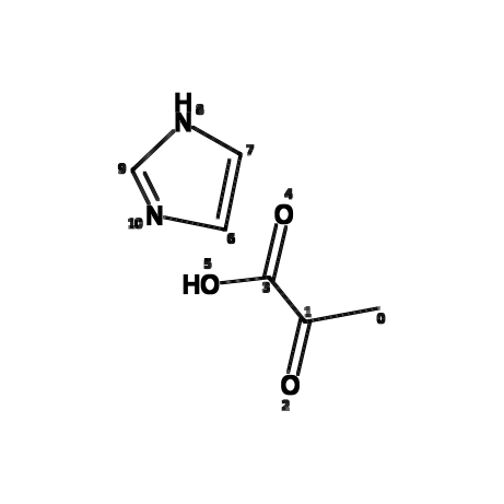 CC(=O)C(=O)O.c1c[nH]cn1